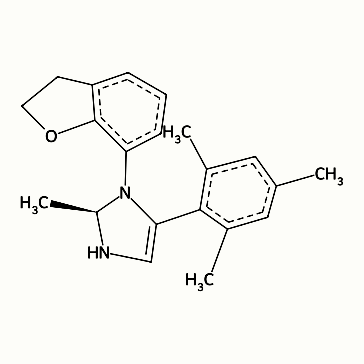 Cc1cc(C)c(C2=CN[C@@H](C)N2c2cccc3c2OCC3)c(C)c1